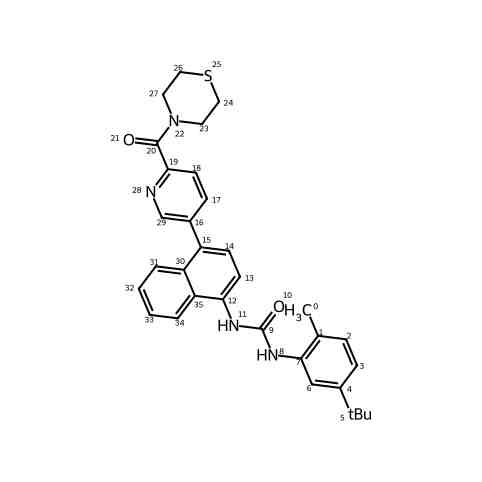 Cc1ccc(C(C)(C)C)cc1NC(=O)Nc1ccc(-c2ccc(C(=O)N3CCSCC3)nc2)c2ccccc12